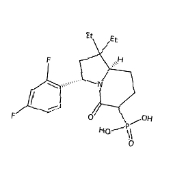 CCC1(CC)C[C@@H](c2ccc(F)cc2F)N2C(=O)C(P(=O)(O)O)CC[C@@H]21